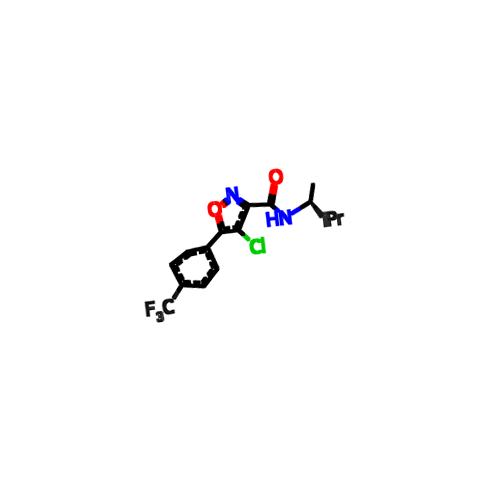 CC(C)[C@H](C)NC(=O)c1noc(-c2ccc(C(F)(F)F)cc2)c1Cl